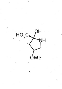 COC1CN[C@](O)(C(=O)O)C1